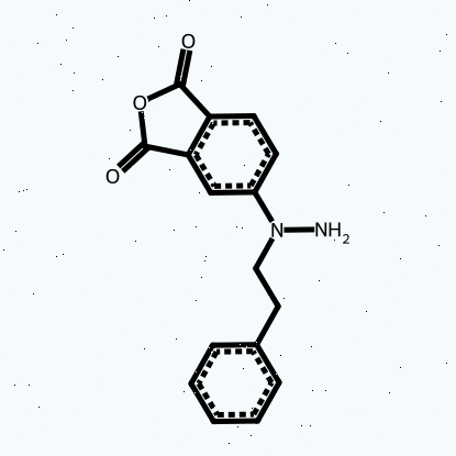 NN(CCc1ccccc1)c1ccc2c(c1)C(=O)OC2=O